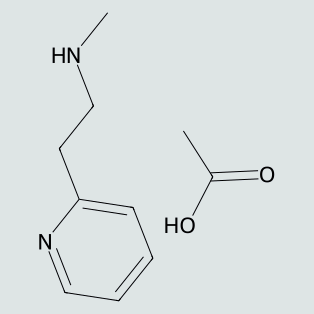 CC(=O)O.CNCCc1ccccn1